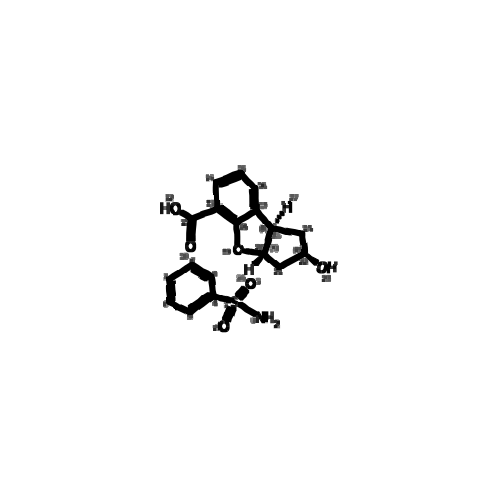 NS(=O)(=O)c1ccccc1.O=C(O)c1cccc2c1O[C@H]1C[C@H](O)C[C@H]21